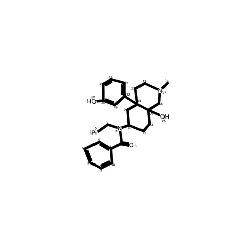 CC(C)CN(C(=O)c1ccccc1)C1CCC2(O)CN(C)CCC2(c2cccc(O)c2)C1